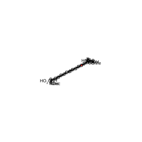 CCCCCCCCCCCC(CCCCCCCCCCC)(C(=O)O)C(=O)NCCOCCOCCOCCOCCOCCOCCOCCOCCOCCOCCOCCON1C(O)C(C)OC(COP(=O)(O)OC)C1O